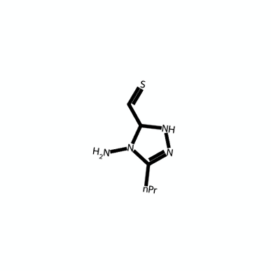 CCCC1=NNC(C=S)N1N